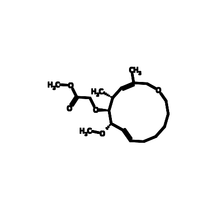 COC(=O)CO[C@H]1[C@H](C)/C=C(/C)COCCCCC/C=C/[C@@H]1OC